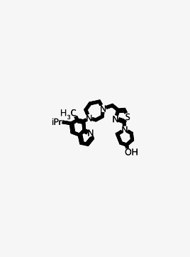 Cc1c(C(C)C)cc2cccnc2c1N1CCCN(Cc2csc(N3CCC(O)CC3)n2)CC1